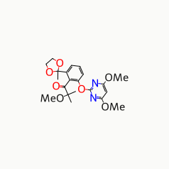 COc1cc(OC)nc(Oc2cccc(C3(C)OCCO3)c2C(=O)C(C)(C)OC)n1